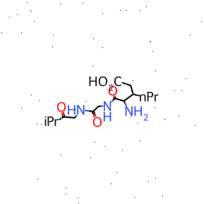 CCCC(CC(=O)O)C(N)C(=O)NCC(=O)NCC(=O)C(C)C